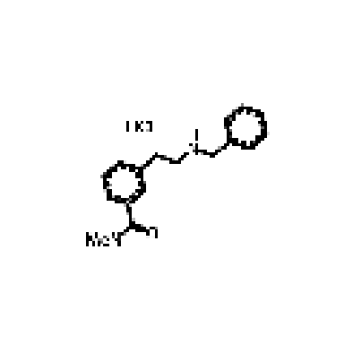 CNC(=O)c1cccc(CCNCc2ccccc2)c1.Cl